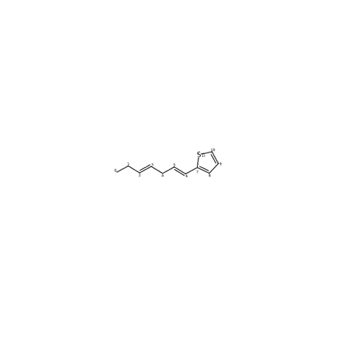 CC/C=C/C/C=C/c1cccs1